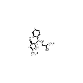 CCC(COC(c1ccccc1)n1[nH]c(C(=O)O)cc1=O)S(=O)(=O)O